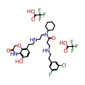 O=C(O)C(F)(F)F.O=C(O)C(F)(F)F.O=C1COc2c(CCNCCN(C(=O)CCNCCc3cc(F)cc(Cl)c3)C3CCCCC3)ccc(O)c2N1